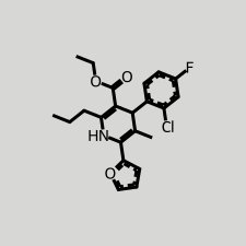 CCCC1=C(C(=O)OCC)C(c2ccc(F)cc2Cl)C(C)=C(c2ccco2)N1